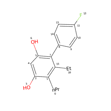 CCCc1c(O)cc(O)c(-c2ccc(F)cc2)c1CC